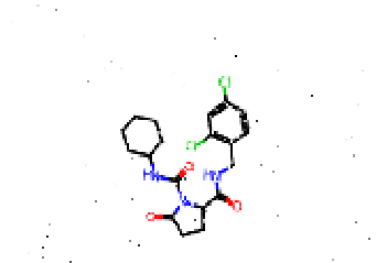 O=C(NCc1ccc(Cl)cc1Cl)C1CCC(=O)N1C(=O)NC1CCCCC1